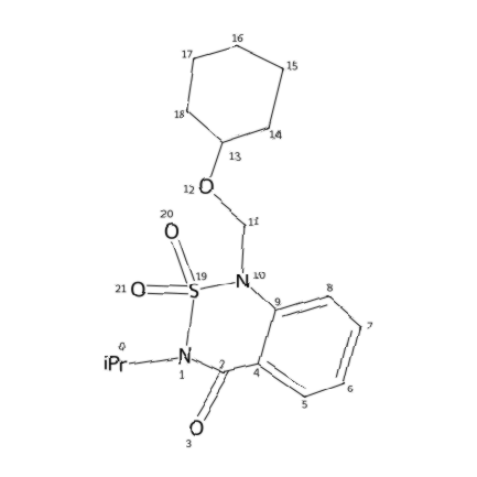 CC(C)N1C(=O)c2ccccc2N(COC2CCCCC2)S1(=O)=O